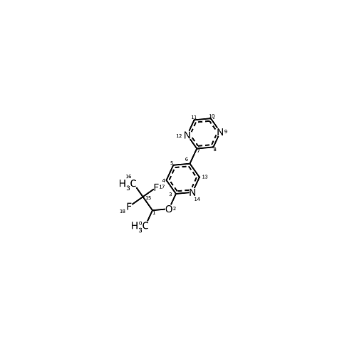 CC(Oc1ccc(-c2cn[c]cn2)cn1)C(C)(F)F